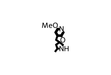 COc1cc2c(cn1)OC1(CNC(C)C1)C2